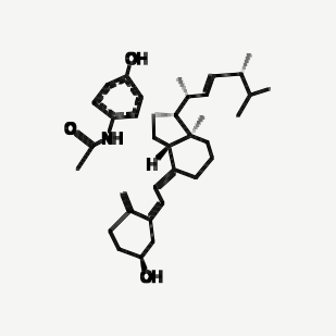 C=C1CC[C@H](O)C/C1=C/C=C1\CCC[C@]2(C)[C@@H]([C@H](C)/C=C/[C@H](C)C(C)C)CC[C@@H]12.CC(=O)Nc1ccc(O)cc1